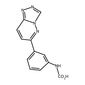 O=C(O)Nc1cccc(-c2ccc3nncn3n2)c1